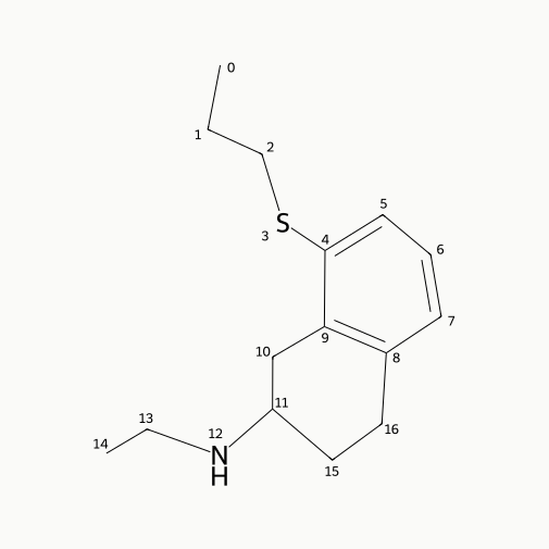 CCCSc1cccc2c1CC(NCC)CC2